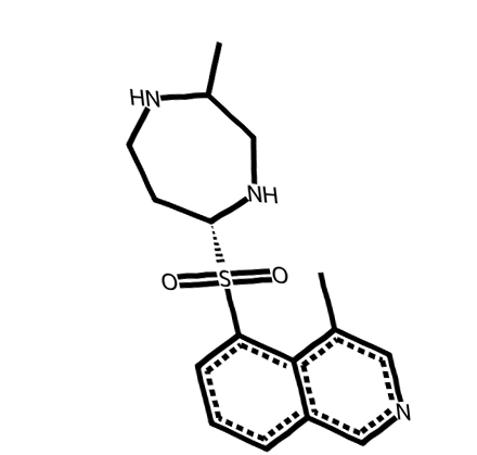 Cc1cncc2cccc(S(=O)(=O)[C@@H]3CCNC(C)CN3)c12